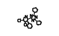 Clc1cnc(-c2nc(-c3ccccc3)nc(-c3ccccc3)n2)c2c1oc1ccccc12